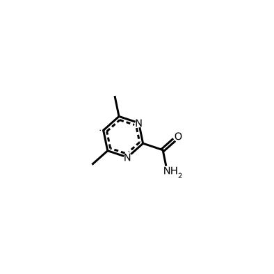 Cc1[c]c(C)nc(C(N)=O)n1